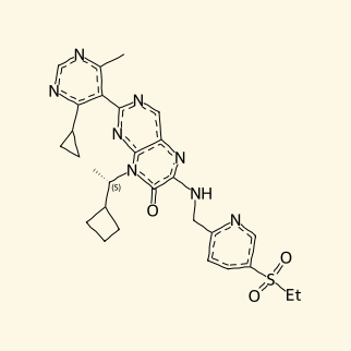 CCS(=O)(=O)c1ccc(CNc2nc3cnc(-c4c(C)ncnc4C4CC4)nc3n([C@@H](C)C3CCC3)c2=O)nc1